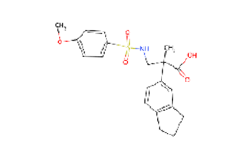 COc1ccc(S(=O)(=O)NCC(C)(C(=O)O)c2ccc3c(c2)CCC3)cc1